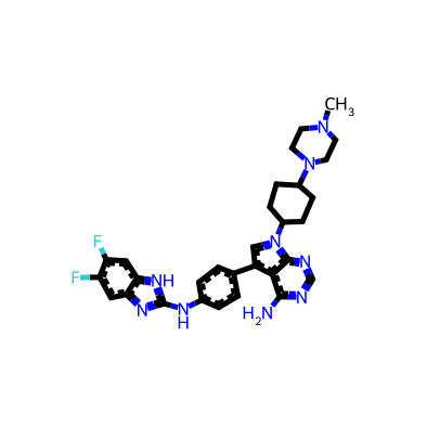 CN1CCN(C2CCC(n3cc(-c4ccc(Nc5nc6cc(F)c(F)cc6[nH]5)cc4)c4c(N)ncnc43)CC2)CC1